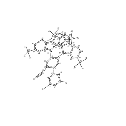 Cc1cc(C)nc(-c2cc(-n3c4cc(C(C)(C)C)ccc4c4ccc(C(C)(C)C)cc43)c(-n3c4cc(C(C)(C)C)ccc4c4ccc(C(C)(C)C)cc43)cc2C#N)n1